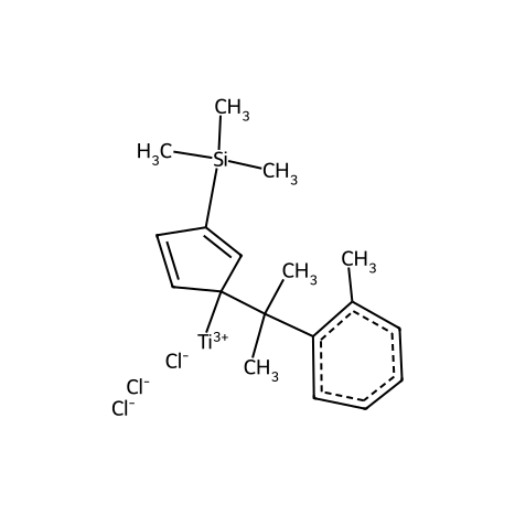 Cc1ccccc1C(C)(C)[C]1([Ti+3])C=CC([Si](C)(C)C)=C1.[Cl-].[Cl-].[Cl-]